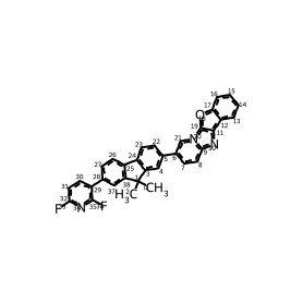 CC1(C)c2cc(-c3ccc4nc5c6ccccc6oc5n4c3)ccc2-c2ccc(-c3ccc(F)nc3F)cc21